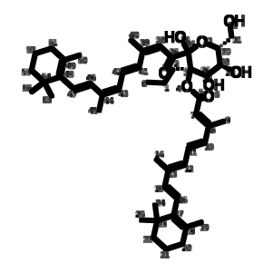 CCC[C@@]1(OC(=O)C=C(C)C=CC=C(C)C=CC2=C(C)CCCC2(C)C)[C@@H](O)[C@H](O)[C@@H](CO)OC1(O)C(=O)C=C(C)C=CC=C(C)C=CC1=C(C)CCCC1(C)C